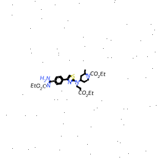 CCOC(=O)CCN(c1nc(-c2ccc(C(N)=NC(=O)OCC)cc2)cs1)C1CCN(C(=O)OCC)C(C)C1